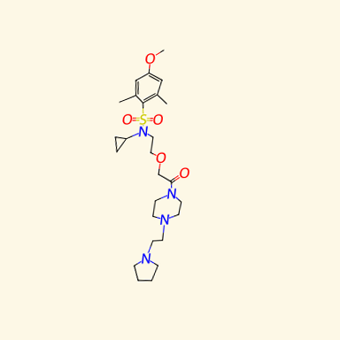 COc1cc(C)c(S(=O)(=O)N(CCOCC(=O)N2CCN(CCN3CCCC3)CC2)C2CC2)c(C)c1